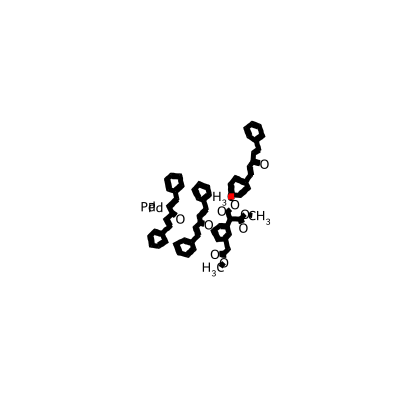 COC(=O)Cc1cccc(C(C(=O)OC)C(=O)OC)c1.O=C(C=Cc1ccccc1)C=Cc1ccccc1.O=C(C=Cc1ccccc1)C=Cc1ccccc1.O=C(C=Cc1ccccc1)C=Cc1ccccc1.[Pd].[Pd]